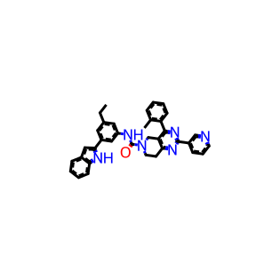 CCc1cc(NC(=O)N2CCc3nc(-c4cccnc4)nc(-c4ccccc4C)c3C2)cc(-c2cc3ccccc3[nH]2)c1